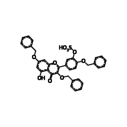 O=c1c(OCc2ccccc2)c(-c2ccc(OCc3ccccc3)c(OS(=O)(=O)O)c2)oc2cc(OCc3ccccc3)cc(O)c12